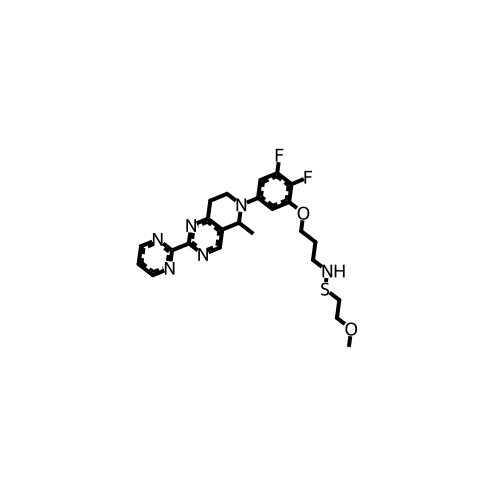 COCCSNCCCOc1cc(N2CCc3nc(-c4ncccn4)ncc3C2C)cc(F)c1F